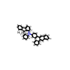 CC1(C)c2ccccc2-c2cccc(N(c3ccccc3)c3ccc(-c4cc5ccccc5cc4-c4ccccc4)cc3)c21